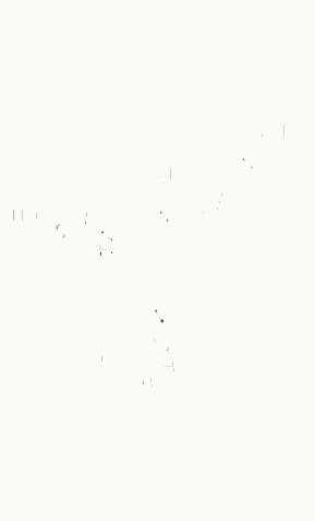 CS[C@@H]1C=CC2=C(N1)C(CC1CN(C(=O)OC(C)(C)C)CCO1)C(=O)N(c1ccc(-c3cccc(C)n3)cc1Cl)C2